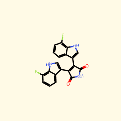 O=C1NC(=O)C(c2c[nH]c3c(F)cccc23)=C1c1c[nH]c2c(F)cccc12